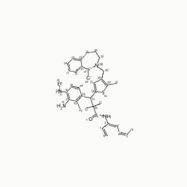 C=C/C(=C\C=C/C)NC(=O)C(C)(C)C(c1cc(CN2CCCc3ccccc3[S+]2[O-])c(C)s1)c1ccc(NCC)c(N)c1C